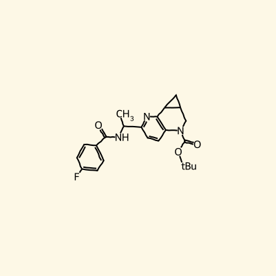 CC(NC(=O)c1ccc(F)cc1)c1ccc2c(n1)C1CC1CN2C(=O)OC(C)(C)C